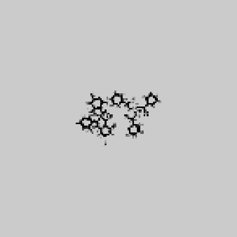 Cc1cc(C)c(C(=O)[C]([Ge])(C(=O)c2c(C)cc(C)cc2C)C(=O)c2c(C)cc(C)cc2C)c(C)c1.O=C([CH2][Ge]([CH2]C(=O)c1ccccc1)[CH2]C(=O)c1ccccc1)c1ccccc1